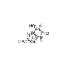 CN(C)C=O.Oc1c(Cl)c(Cl)c(Cl)c(Cl)c1Cl